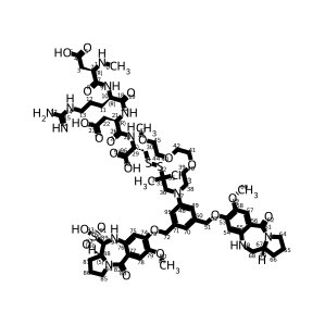 CN[C@H](CC(=O)O)C(=O)N[C@H](CCCNC(=N)N)C(=O)N[C@H](CC(=O)O)C(=O)N[C@H](CSSC(C)(C)CN(CCOCCOCCOC)c1cc(COc2cc3c(cc2OC)C(=O)N2CCC[C@@H]2CN3)cc(COc2cc3c(cc2OC)C(=O)N2CCC[C@H]2C(S(=O)(=O)O)N3)c1)C(=O)O